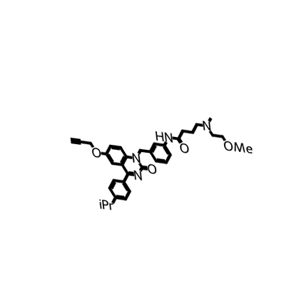 C#CCOc1ccc2c(c1)c(-c1ccc(C(C)C)cc1)nc(=O)n2Cc1cccc(NC(=O)CCCN(C)CCOC)c1